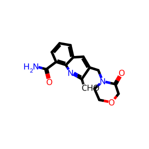 NC(=O)c1cccc2cc(CN3CCOCC3=O)c(C=O)nc12